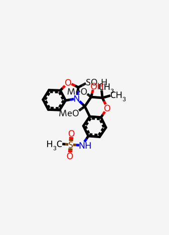 COC1(N2c3ccccc3OC2S(=O)(=O)O)c2cc(NS(C)(=O)=O)ccc2OC(C)(C)C1(O)OC